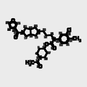 CC(=O)N1CCC(OC(=O)N(CCCN2CC3CN(C(=O)c4ccoc4)CC3C2)c2ccc(C)c(Cl)c2)CC1